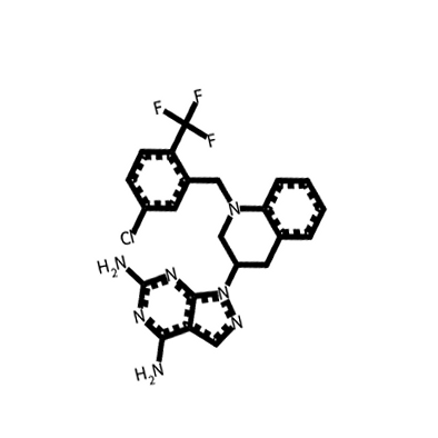 Nc1nc(N)c2cnn(C3Cc4ccccc4N(Cc4cc(Cl)ccc4C(F)(F)F)C3)c2n1